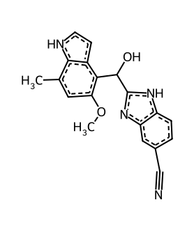 COc1cc(C)c2[nH]ccc2c1C(O)c1nc2cc(C#N)ccc2[nH]1